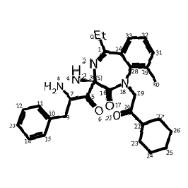 CCC1=N[C@@](N)(C(=O)C(N)Cc2ccccc2)C(=O)N(CC(=O)C2CCCCC2)c2c(C)cccc21